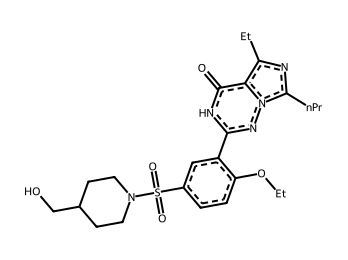 CCCc1nc(CC)c2c(=O)[nH]c(-c3cc(S(=O)(=O)N4CCC(CO)CC4)ccc3OCC)nn12